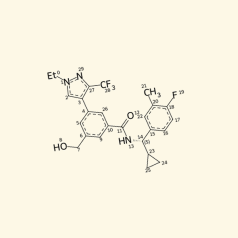 CCn1cc(-c2cc(CO)cc(C(=O)N[C@H](c3ccc(F)c(C)c3)C3CC3)c2)c(C(F)(F)F)n1